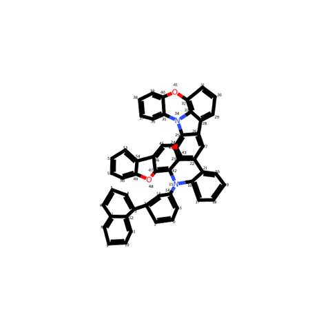 c1cc(-c2cccc3ccccc23)cc(N(c2ccccc2-c2ccc3c(c2)c2cccc4c2n3-c2ccccc2O4)c2cccc3c2oc2ccccc23)c1